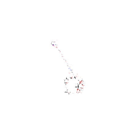 C=C1C[C@@H]2CC[C@@]34C[C@@H](O)[C@H]5[C@@H]6O[C@H]7CC[C@H](CC(=O)C[C@@H]8[C@@H](OC)[C@@H](C[C@H](O)CNC(=O)CCOCCOCCOCCOCCN9C(=O)C=CC9O)O[C@H]8C[C@H]8O[C@@H](CC[C@@H]1O2)C[C@@H](C)C8=C)O[C@@H]7[C@H](O3)[C@@H]6[C@@H]5O4